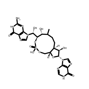 CC1CC[C@H]2[C@@H](O)[C@H](n3cnc4c(=O)[nH]cnc43)O[C@@H]2COP(=O)(O)O[C@@H]([C@@H](O)n2cnc3c(=O)[nH]c(N)nc32)[C@@H]1O